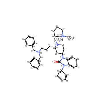 O=C(O)N1CCC(n2c(=O)n(-c3ccccc3)c3ccccc32)C[C@@H]1CCCN(Cc1ccccc1)Cc1ccccc1.O=C(O)N1CCCCC1